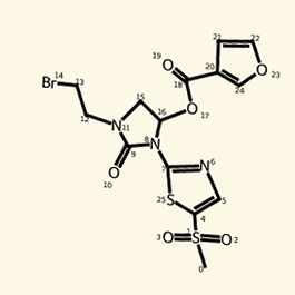 CS(=O)(=O)c1cnc(N2C(=O)N(CCBr)CC2OC(=O)c2ccoc2)s1